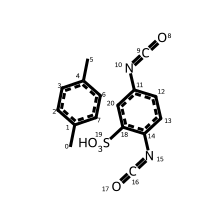 Cc1ccc(C)cc1.O=C=Nc1ccc(N=C=O)c(S(=O)(=O)O)c1